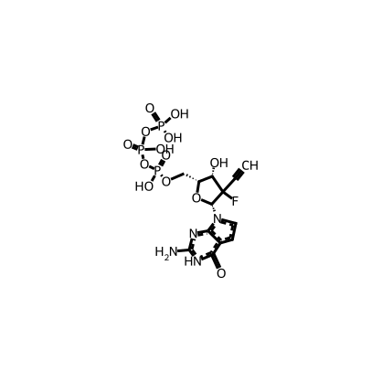 C#CC1(F)[C@@H](O)[C@@H](COP(=O)(O)OP(=O)(O)OP(=O)(O)O)O[C@H]1n1ccc2c(=O)[nH]c(N)nc21